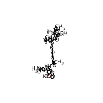 Cc1cc([C@@H](C(=O)N2C[C@H](O)C[C@H]2C(=O)NCc2ccc(-c3scnc3C)cc2OCCOCCOCCOCCN(C)C(=O)CCNc2nc(N3CCN(C(N)=O)CC3)c3cc(Cl)c(C4=C(F)C=CC=CC4O)c(F)c3n2)C(C)C)on1